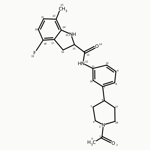 CC(=O)N1CCC(c2cccc(NC(=O)C3Cc4c(F)ccc(C)c4N3)c2)CC1